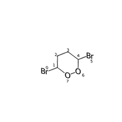 BrC1CCC(Br)OO1